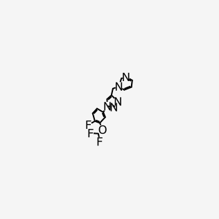 Fc1ccc(-n2cc(CN3C=CC=NC3)nn2)cc1OC(F)F